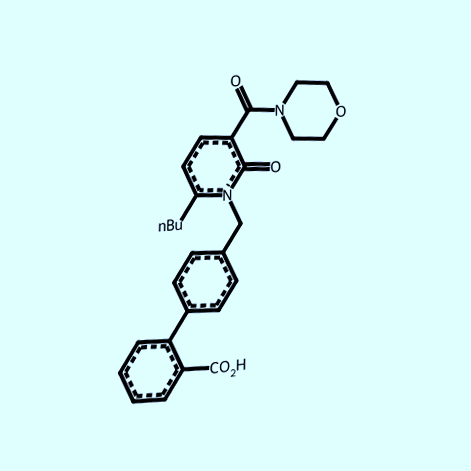 CCCCc1ccc(C(=O)N2CCOCC2)c(=O)n1Cc1ccc(-c2ccccc2C(=O)O)cc1